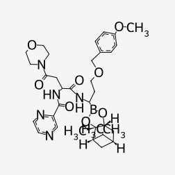 COc1ccc(COCCC(NC(=O)C(CC(=O)N2CCOCC2)NC(=O)c2cnccn2)B2O[C@@H]3C[C@@H]4C[C@@H](C4(C)C)[C@]3(C)O2)cc1